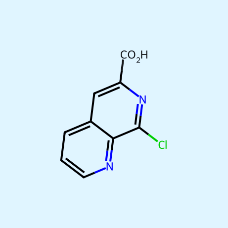 O=C(O)c1cc2cccnc2c(Cl)n1